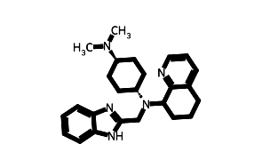 CN(C)[C@H]1CC[C@H](N(Cc2nc3ccccc3[nH]2)C2CCCc3cccnc32)CC1